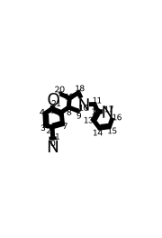 N#Cc1ccc2c(c1)C1CN(Cc3ccccn3)CC1CO2